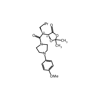 COc1ccc(N2CCN(C(=O)[C@@H](CC(C)C)[C@@H]3OC(C)(C)OC3=O)CC2)cc1